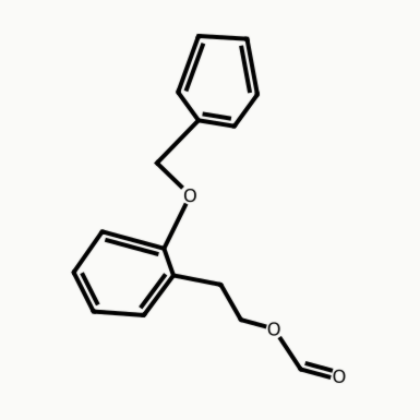 O=COCCc1ccccc1OCc1ccccc1